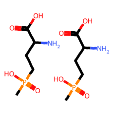 CP(=O)(O)CCC(N)C(=O)O.CP(=O)(O)CCC(N)C(=O)O